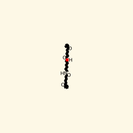 CC(C)(C)C(=O)CCCCC(=O)NCCCCCCNC(=O)CCCCC(=O)C(C)(C)C